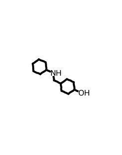 OC1CCC(CNC2CCCCC2)CC1